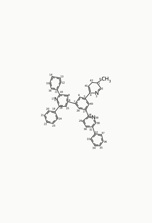 CC1C=NC(c2cc(-c3cc(-c4ccccc4)nc(-c4ccccc4)c3)cc(-c3ccc(-c4ccccc4)cn3)c2)=CC1